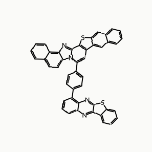 c1ccc2cc3c(cc2c1)sc1c3cc(-c2ccc(-c3cccc4nc5c(nc34)sc3ccccc35)cc2)n2c3ccc4ccccc4c3nc12